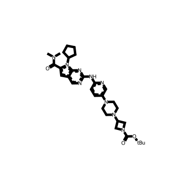 CN(C)C(=O)c1cc2cnc(Nc3ccc(N4CCN(C5CN(C(=O)OC(C)(C)C)C5)CC4)cn3)nc2n1C1CCCC1